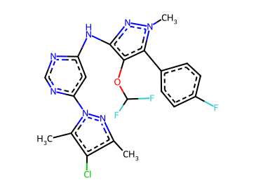 Cc1nn(-c2cc(Nc3nn(C)c(-c4ccc(F)cc4)c3OC(F)F)ncn2)c(C)c1Cl